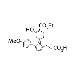 CCOC(=O)c1ccc(-n2c(CCC(=O)O)ccc2-c2ccc(OC)cc2)cc1O